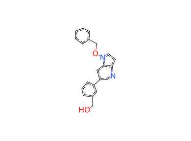 OCc1cccc(-c2cnc3ccn(OCc4ccccc4)c3c2)c1